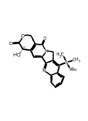 CC(C)(C)S(C)(C)c1c2c(nc3ccccc13)-c1cc3c(c(=O)n1C2)COC(=O)[C@H]3O